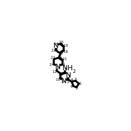 Nc1nc(C2CCCC2)ncc1CN1CC=C(c2cccnc2)CC1